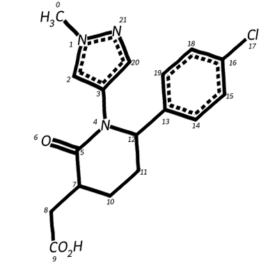 Cn1cc(N2C(=O)C(CC(=O)O)CCC2c2ccc(Cl)cc2)cn1